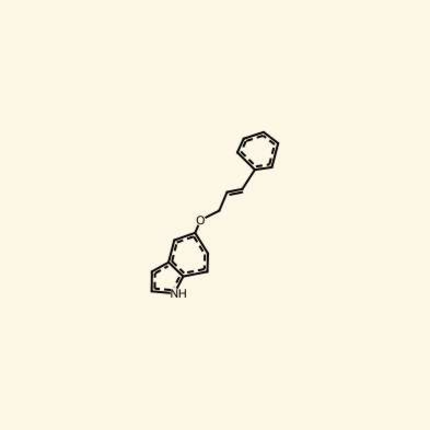 C(=Cc1ccccc1)COc1ccc2[nH]ccc2c1